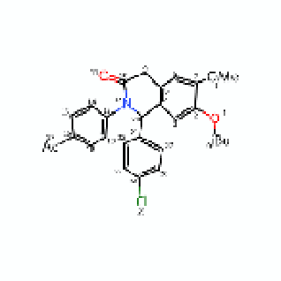 CCC(C)Oc1cc2c(cc1OC)CC(=O)N(c1ccc(C(C)=O)cc1)C2c1ccc(Cl)cc1